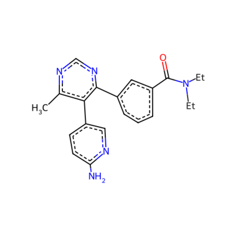 CCN(CC)C(=O)c1cccc(-c2ncnc(C)c2-c2ccc(N)nc2)c1